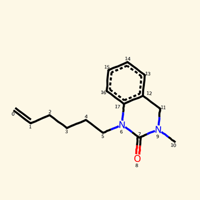 C=CCCCCN1C(=O)N(C)Cc2ccccc21